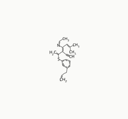 C#C/C(C(=C)Sc1cccc(CC=C)c1)=C(C=C(C)C)/N=C\C